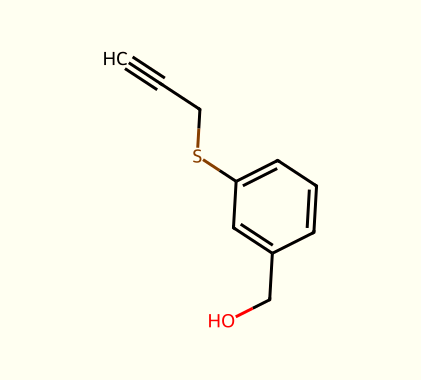 C#CCSc1cccc(CO)c1